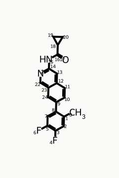 Cc1cc(F)c(F)cc1-c1ccc2cc(NC(=O)C3CC3)ncc2c1